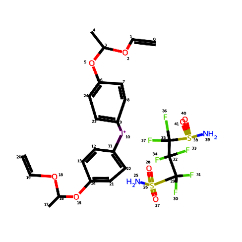 C=COC(C)Oc1ccc([I+]c2ccc(OC(C)OC=C)cc2)cc1.NS(=O)(=O)C(F)(F)C(F)(F)C(F)(F)S(N)(=O)=O